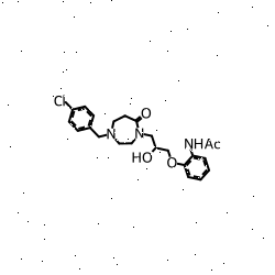 CC(=O)Nc1ccccc1OCC(O)CN1CCN(Cc2ccc(Cl)cc2)CCC1=O